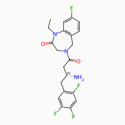 CCN1C(=O)CN(C(=O)C[C@H](N)Cc2cc(F)c(F)cc2F)Cc2ccc(F)cc21